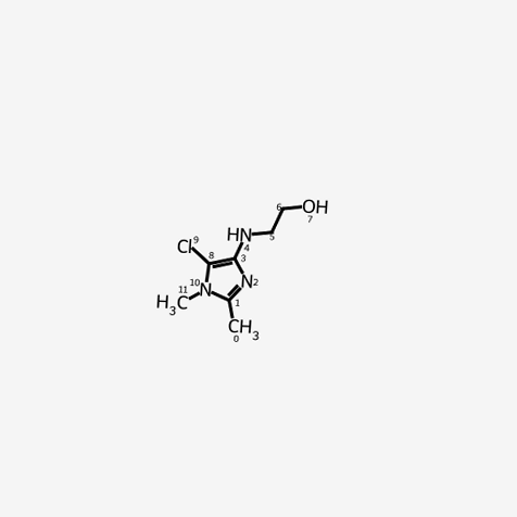 Cc1nc(NCCO)c(Cl)n1C